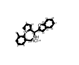 Cc1cccc2c1-n1cccc1C(c1cc3ccccc3o1)NC2.Cl